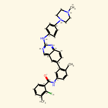 Cc1ccc(NC(=O)c2cccc(C(F)(F)F)c2F)cc1-c1ccc2nc(Nc3ccc(N4CCN(C)CC4)cc3)ncc2c1